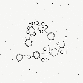 O=C(O[C@H](C(=O)O)[C@H](OC(=O)c1ccccc1)C(=O)O)c1ccccc1.O[C@H]1c2ccc(OCc3ccccc3)cc2OCC1N1CCC(O)(c2ccc(F)cc2)CC1